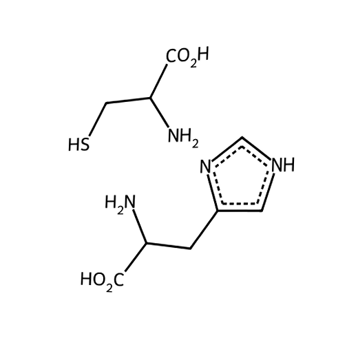 NC(CS)C(=O)O.NC(Cc1c[nH]cn1)C(=O)O